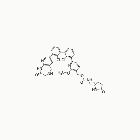 COc1nc(-c2cccc(-c3cccc(-c4cnc5c(c4)CNCC(=O)N5)c3Cl)c2Cl)ccc1COC(=O)NC[C@@H]1CCC(=O)N1